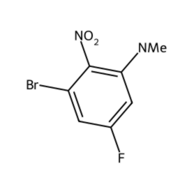 CNc1cc(F)cc(Br)c1[N+](=O)[O-]